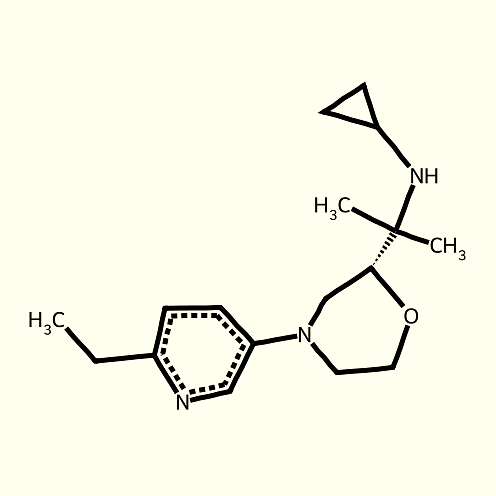 CCc1ccc(N2CCO[C@@H](C(C)(C)NC3CC3)C2)cn1